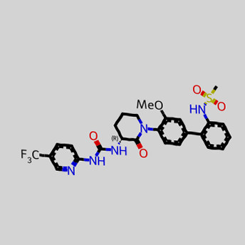 COc1cc(-c2ccccc2NS(C)(=O)=O)ccc1N1CCC[C@@H](NC(=O)Nc2ccc(C(F)(F)F)cn2)C1=O